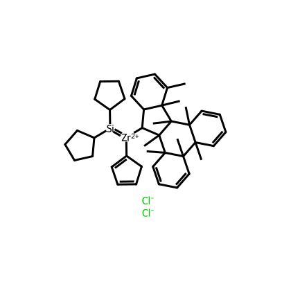 CC1=CC=CC2[CH]([Zr+2]([C]3=CC=CC3)=[Si](C3CCCC3)C3CCCC3)C3(C)C4(C)C=CC=CC4(C)C4(C)C=CC=CC4(C)C3(C)C12C.[Cl-].[Cl-]